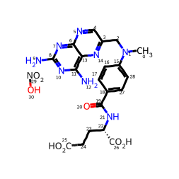 CN(Cc1cnc2nc(N)nc(N)c2n1)c1ccc(C(=O)N[C@@H](CCC(=O)O)C(=O)O)cc1.O=[N+]([O-])O